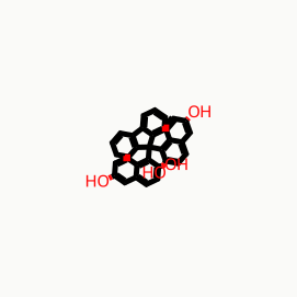 Oc1c#cc2c(C3(c4c(O)ccc5cc(O)ccc45)C4=C(C=CCC4)c4ccccc43)c(O)ccc2c1